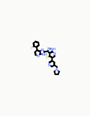 Fc1ccccc1-c1ccnc2[nH]c(-c3n[nH]c4ncc(-c5cncc(CN6CCCC6)c5)c(F)c34)nc12